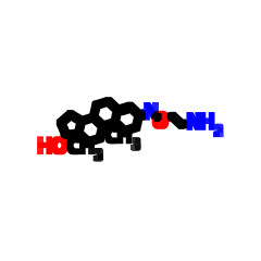 CC12CCC(=NOCCN)C=C1CCC1C2CCC2(C)C(O)CCC12